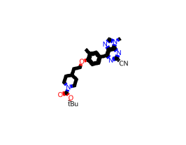 Cc1cc(-c2nc(C#N)nc3c2ncn3C)ccc1OCCC1CCN(C(=O)OC(C)(C)C)CC1